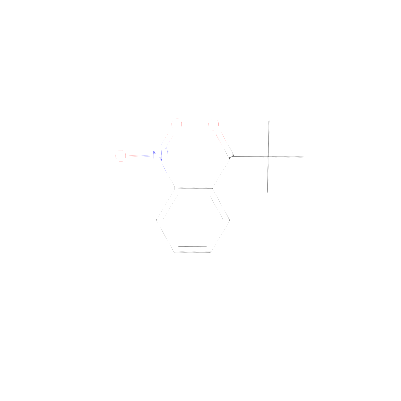 CC(C)(C)C(=O)c1ccccc1[N+](=O)[O-]